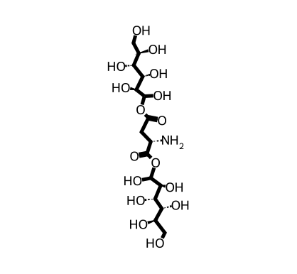 N[C@@H](CC(=O)OC(O)[C@@H](O)[C@@H](O)[C@H](O)[C@H](O)CO)C(=O)OC(O)[C@@H](O)[C@@H](O)[C@H](O)[C@H](O)CO